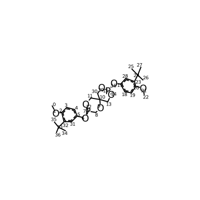 COc1ccc(OP2COC3(CO2)COP(Oc2ccc(OC)c(C(C)(C)C)c2)OC3)cc1C(C)(C)C